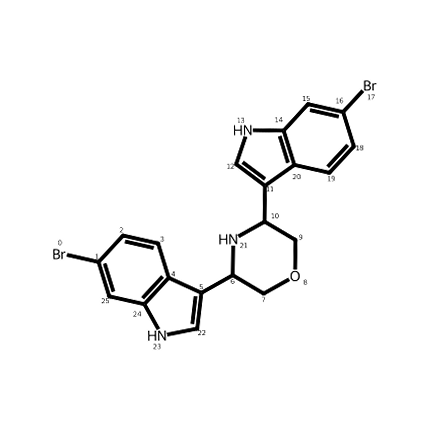 Brc1ccc2c(C3COCC(c4c[nH]c5cc(Br)ccc45)N3)c[nH]c2c1